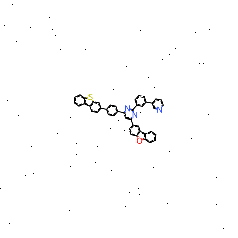 c1cncc(-c2cccc(-c3nc(-c4ccc(-c5ccc6c(c5)sc5ccccc56)cc4)cc(-c4ccc5oc6ccccc6c5c4)n3)c2)c1